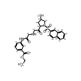 CCOC(=O)c1cccc(NC(=O)CNCC(=O)C2CC(S)CN2S(=O)(=O)c2ccc3ccccc3c2)c1